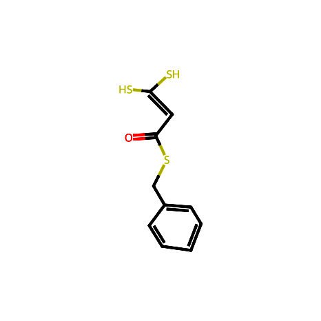 O=C(C=C(S)S)SCc1ccccc1